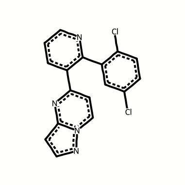 Clc1ccc(Cl)c(-c2ncccc2-c2ccn3nccc3n2)c1